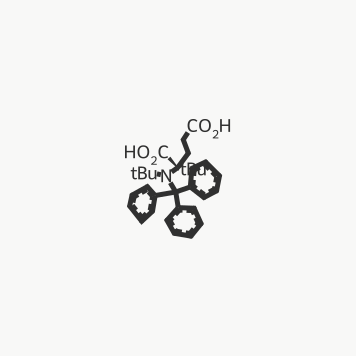 CC(C)(C)N(C(c1ccccc1)(c1ccccc1)c1ccccc1)[C@@](CCC(=O)O)(C(=O)O)C(C)(C)C